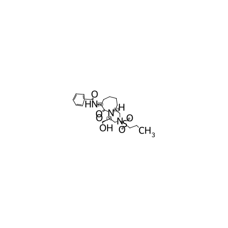 CCCS(=O)(=O)N1C[C@@H]2CCCC[C@H](NC(=O)c3ccccc3)C(=O)N2[C@H](C(=O)O)C1